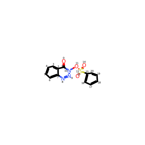 O=c1c2ccccc2nnn1OS(=O)(=O)c1ccccc1